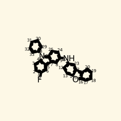 Fc1ccc2c(c1)c1cc(Nc3ccc4oc5ccccc5c4c3)ccc1n2-c1ccccc1